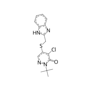 CC(C)(C)n1ncc(SCc2nc3ccccc3[nH]2)c(Cl)c1=O